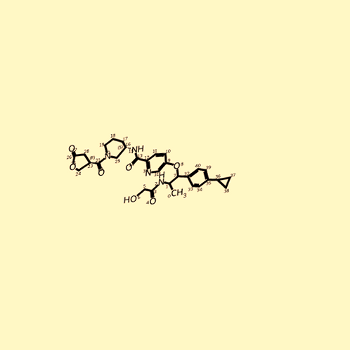 CC(NC(=O)CO)C(Oc1ccc(C(=O)N[C@H]2CCCN(C(=O)[C@H]3COC(=O)C3)C2)nc1)c1ccc(C2CC2)cc1